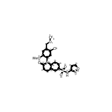 COc1cc(COC(F)(F)F)c(Cl)cc1-n1c(=O)ccc2cc(S(=O)(=O)Nc3ccon3)ccc21